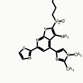 CCCC[S@@+]([O-])c1sc2nc(-c3nccs3)cc(-c3cn(C)c(C)n3)c2c1N